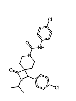 CC(C)N1C(=O)C2(CCN(C(=O)Nc3ccc(Cl)cc3)CC2)C1c1ccc(Cl)cc1